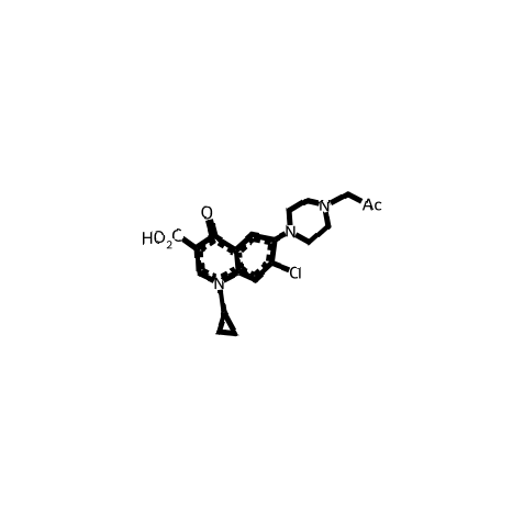 [CH2]C(=O)CN1CCN(c2cc3c(=O)c(C(=O)O)cn(C4CC4)c3cc2Cl)CC1